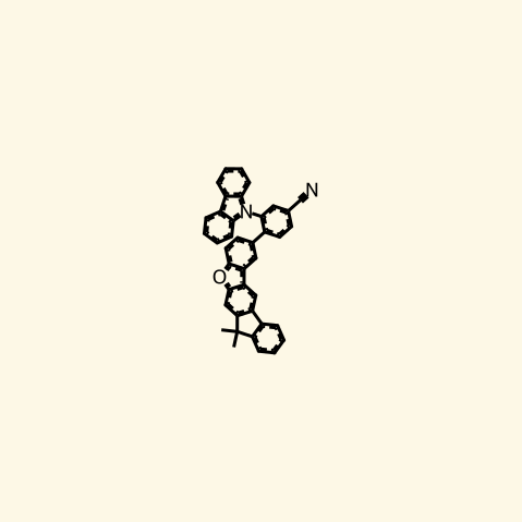 CC1(C)c2ccccc2-c2cc3c(cc21)oc1ccc(-c2ccc(C#N)cc2-n2c4ccccc4c4ccccc42)cc13